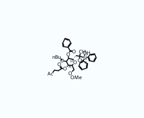 CCCCOC1C(OC(=O)c2ccccc2)[C@H](CC(C)(C)[Si](O)(c2ccccc2)c2ccccc2)OC(COOC)[C@H]1OC(=O)CCC(C)=O